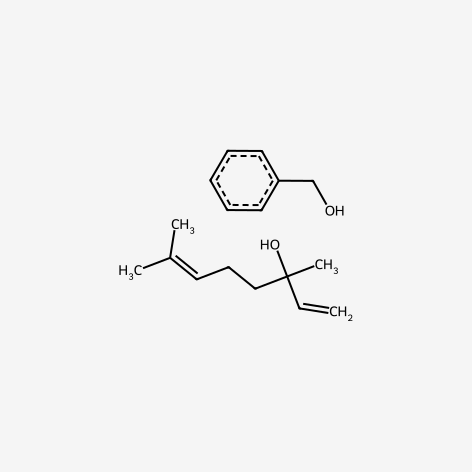 C=CC(C)(O)CCC=C(C)C.OCc1ccccc1